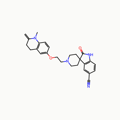 C=C1CCc2cc(OCCN3CCC4(CC3)C(=O)Nc3ccc(C#N)cc34)ccc2N1C